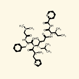 CC[C@H](C)[C@H](NC(=O)C[C@H](O)[C@H](CC(C)C)N(C(=O)[C@H](Cc1ccccc1)NC(=O)CN(C)C)C(=O)[C@@H](N)Cc1cccs1)C(=O)NC(=O)c1ccccn1